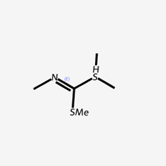 C/N=C(\SC)[SH](C)C